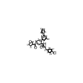 Cc1cc(N2CCN(C(=O)C3CCOC3)CC2CC(=O)NCc2ccc(Cl)cc2)nc(-n2ccnc2)n1